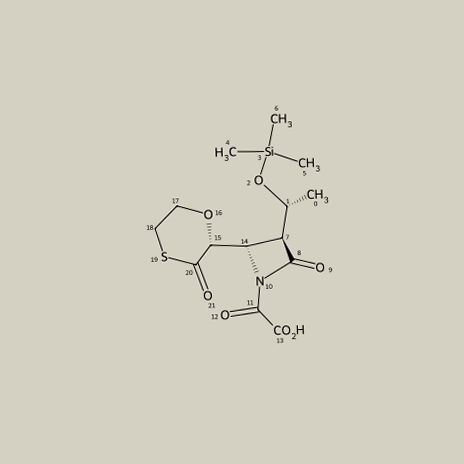 C[C@@H](O[Si](C)(C)C)[C@H]1C(=O)N(C(=O)C(=O)O)[C@@H]1[C@H]1OCCSC1=O